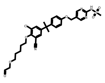 CC(C)(c1ccc(OCc2cnc(NS(C)(=O)=O)nc2)cc1)c1cc(Cl)c(OCCCCCOCC=O)c(C#N)c1